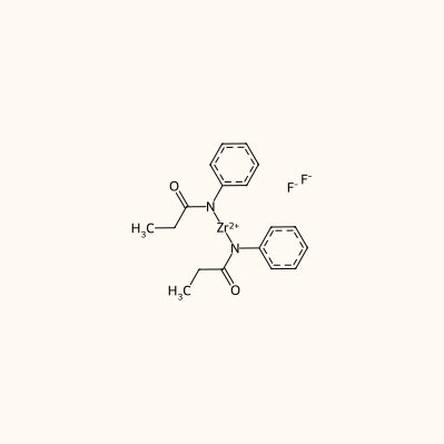 CCC(=O)[N]([Zr+2][N](C(=O)CC)c1ccccc1)c1ccccc1.[F-].[F-]